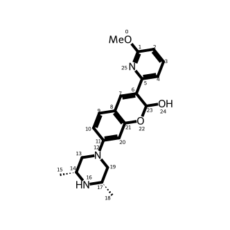 COc1cccc(C2=Cc3ccc(N4C[C@@H](C)N[C@@H](C)C4)cc3OC2O)n1